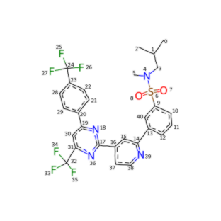 CC(C)CN(C)S(=O)(=O)c1cccc(-c2cc(-c3nc(-c4ccc(C(F)(F)F)cc4)cc(C(F)(F)F)n3)ccn2)c1